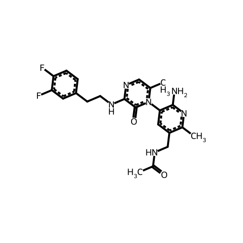 CC(=O)NCc1cc(-n2c(C)cnc(NCCc3ccc(F)c(F)c3)c2=O)c(N)nc1C